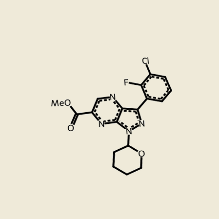 COC(=O)c1cnc2c(-c3cccc(Cl)c3F)nn(C3CCCCO3)c2n1